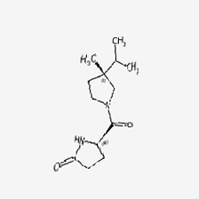 CC(C)[C@@]1(C)CCN(C(=O)[C@H]2CCC(=O)N2)C1